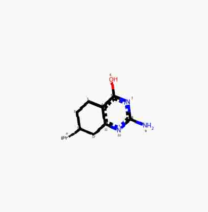 CC(C)C1CCc2c(O)nc(N)nc2C1